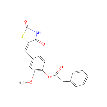 COc1cc(C=C2SC(=O)NC2=O)ccc1OC(=O)Cc1ccccc1